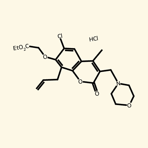 C=CCc1c(OCC(=O)OCC)c(Cl)cc2c(C)c(CN3CCOCC3)c(=O)oc12.Cl